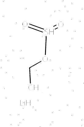 CCO[SH](=O)=O.[LiH]